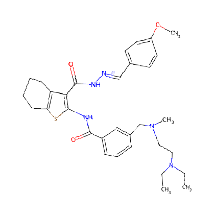 CCN(CC)CCN(C)Cc1cccc(C(=O)Nc2sc3c(c2C(=O)N/N=C/c2ccc(OC)cc2)CCCC3)c1